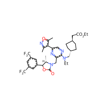 CCOC(=O)C[C@H]1CC[C@H](CN(CC)c2ncc(-c3c(C)noc3C)nc2CN2C(=O)OC(c3cc(C(F)(F)F)cc(C(F)(F)F)c3)[C@@H]2C)CC1